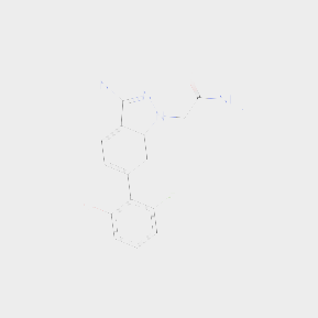 NC(=O)CN1N=C(N)C2=CC=C(c3c(O)cccc3F)CC21